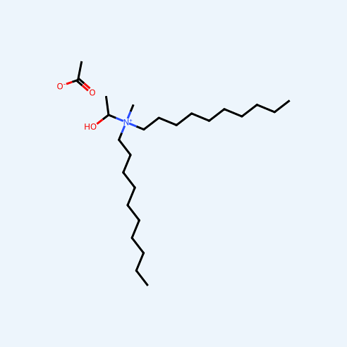 CC(=O)[O-].CCCCCCCCCC[N+](C)(CCCCCCCCCC)C(C)O